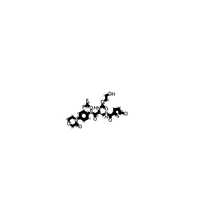 O=C(N[C@@H](CNC(=O)c1ccc(Cl)s1)C(=O)N(OC(F)F)c1ccc(N2CCOCC2=O)cc1)OCCO